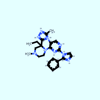 CCC12CN(C)CCN1c1nc(-n3ccnc3-c3ccccc3)ncc1-n1c(C)nnc12